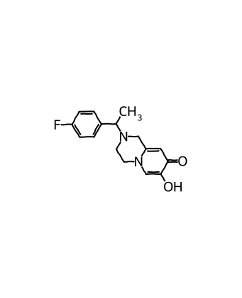 CC(c1ccc(F)cc1)N1CCn2cc(O)c(=O)cc2C1